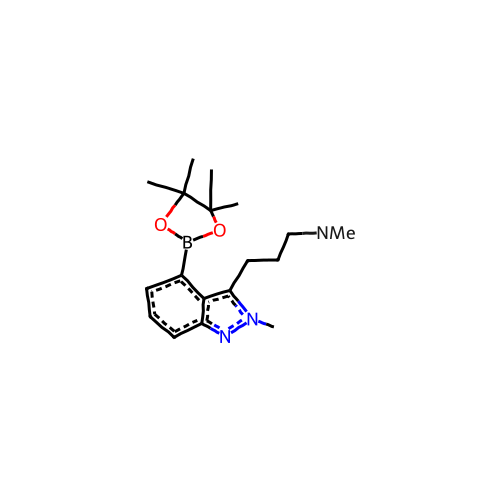 CNCCCc1c2c(B3OC(C)(C)C(C)(C)O3)cccc2nn1C